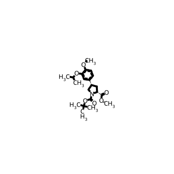 COC(=O)[C@H]1C[C@@H](c2ccc(OC)c(OC(C)C)c2)CN1C(=O)OC(C)(C)C